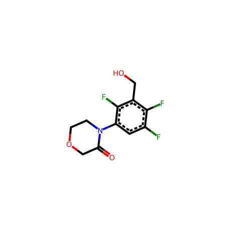 O=C1COCCN1c1cc(F)c(F)c(CO)c1F